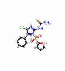 NC(=S)Nc1nc(Cl)c(-c2ccccc2)n1S(=O)(=O)c1ccco1